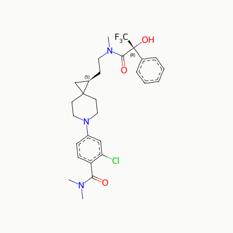 CN(C)C(=O)c1ccc(N2CCC3(CC2)C[C@H]3CCN(C)C(=O)[C@](O)(c2ccccc2)C(F)(F)F)cc1Cl